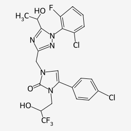 CC(O)c1nc(Cn2cc(-c3ccc(Cl)cc3)n(CC(O)C(F)(F)F)c2=O)nn1-c1c(F)cccc1Cl